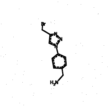 NCc1ccc(-n2cc(CBr)nn2)cc1